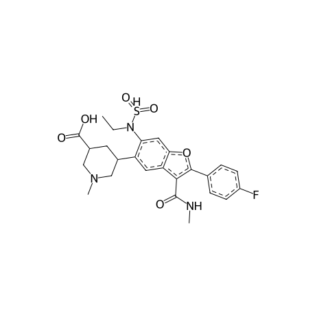 CCN(c1cc2oc(-c3ccc(F)cc3)c(C(=O)NC)c2cc1C1CC(C(=O)O)CN(C)C1)[SH](=O)=O